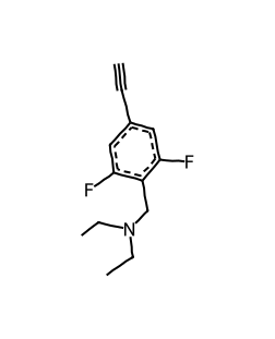 C#Cc1cc(F)c(CN(CC)CC)c(F)c1